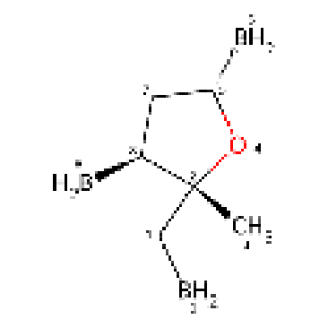 BC[C@@]1(C)O[C@@H](B)C[C@@H]1B